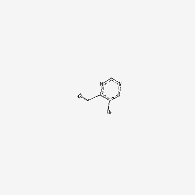 [O]Cc1ncncc1Br